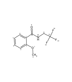 COc1ccccc1C(=O)NCC(F)(F)F